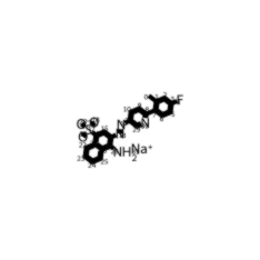 Cc1cc(F)ccc1-c1ccc(N=Nc2cc(S(=O)(=O)[O-])c3ccccc3c2N)cn1.[Na+]